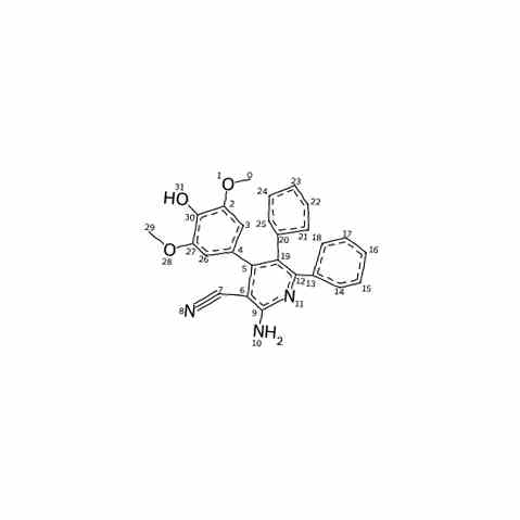 COc1cc(-c2c(C#N)c(N)nc(-c3ccccc3)c2-c2ccccc2)cc(OC)c1O